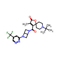 CC1=C(C(=O)N2CC3C2CN3c2cc(C(F)(F)F)cnn2)C2(CCN(C(C)(C)C)CC2)OC1=O